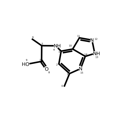 Cc1cc(NC(C)C(=O)O)c2cn[nH]c2n1